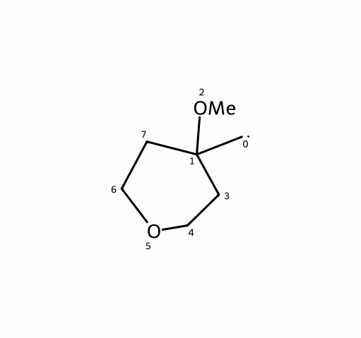 [CH2]C1(OC)CCOCC1